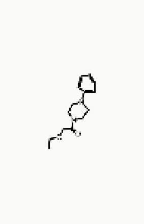 [CH2]COCC(=O)N1CCN(c2ccccc2)CC1